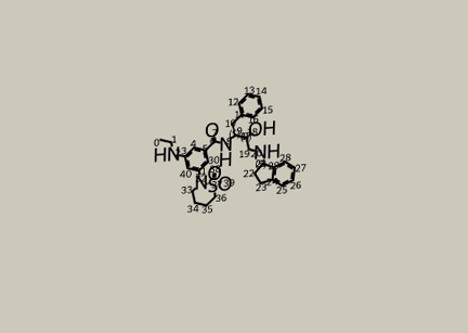 CCNc1cc(C(=O)N[C@@H](Cc2ccccc2)[C@H](O)CN[C@H]2CCc3ccccc32)cc(N2CCCCS2(=O)=O)c1